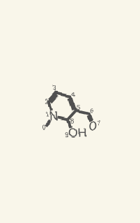 CN1C=CC=C(C=O)C1O